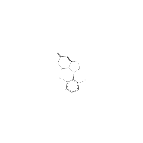 S=C1C=C2SCN(c3c(Br)cccc3Br)C2CC1